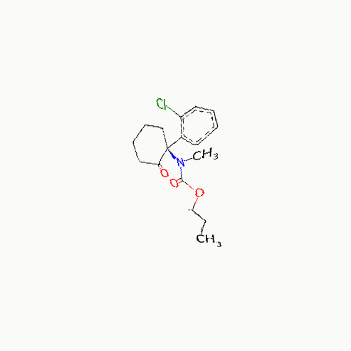 CC[CH]OC(=O)N(C)[C@]1(c2ccccc2Cl)CCCCC1=O